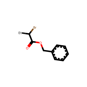 CCC(Br)C(=O)OCc1ccccc1